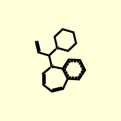 C=CC(N1CCCCC1)N1C=CC=Cc2ccccc21